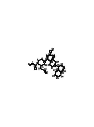 C=CC(=O)N1CCN(c2nc(OC)nc3c2CCN(c2cncc4ccccc24)C3)CC1CC#N